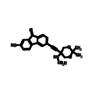 CC1(C)OCC(C#Cc2ccc3c(c2)-c2ccc(O)cc2C3=O)(NC(=O)O)CO1